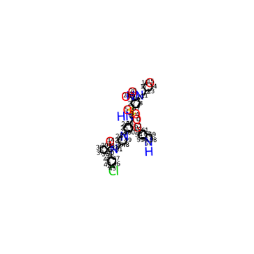 O=C(NS(=O)(=O)c1ccc(NCC2CCOCC2)c([N+](=O)[O-])c1)c1ccc(N2CCC(CN3C(=O)C4(CCCC4)C3c3ccc(Cl)cc3)CC2)cc1Oc1ccc2[nH]ccc2c1